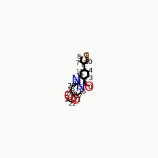 O=c1c2ccc(-c3ccsc3)cc2nc2n1CCC1(CC2)OCCO1